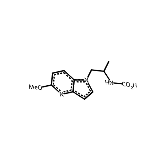 COc1ccc2c(ccn2CC(C)NC(=O)O)n1